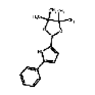 CC1(C)OB(c2ccc(-c3ccccc3)[nH]2)OC1(C)C